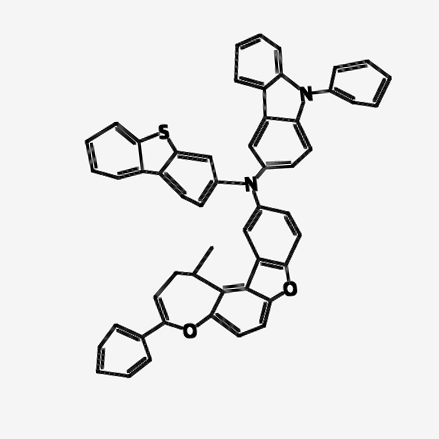 CC1CC=C(c2ccccc2)Oc2ccc3oc4ccc(N(c5ccc6c(c5)sc5ccccc56)c5ccc6c(c5)c5ccccc5n6-c5ccccc5)cc4c3c21